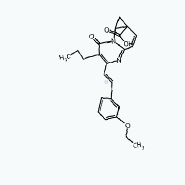 CCCc1c(/C=C/c2cccc(OCC)c2)nc2n(c1=O)C1CC1(C(=O)O)C=C2